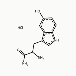 Cl.NC(=O)C(N)Cc1c[nH]c2ccc(O)cc12